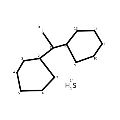 IC(C1CCCCC1)C1CCCCC1.S